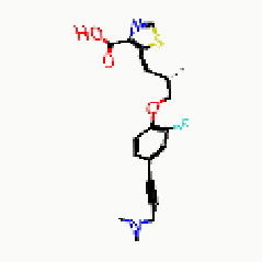 C[C@H](COc1ccc(C#CCN(C)C)cc1F)Cc1scnc1C(=O)O